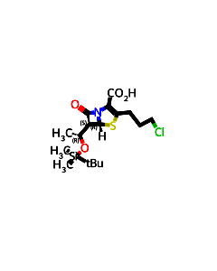 C[C@@H](O[Si](C)(C)C(C)(C)C)[C@H]1C(=O)N2C(C(=O)O)=C(CCCCl)S[C@H]12